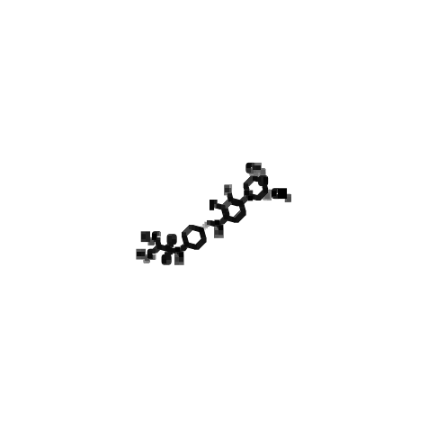 CC(C)S(=O)(=O)N[C@H]1CC[C@H](CNc2ccc(N3C[C@@H](C)O[C@@H](C)C3)c(F)c2F)CC1